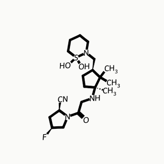 CC1(C)[C@H](CN2CCCCS2(O)O)CC[C@]1(C)NCC(=O)N1C[C@@H](F)C[C@H]1C#N